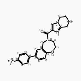 O=C(c1cn2c(n1)CNCC2)N1CCOc2ccc(-c3ccc(C(F)(F)F)cc3)cc2C1